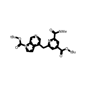 CNC(=O)c1cc(C(=O)OC(C)(C)C)cc(Cc2cncc3c2ccn3C(=O)OC(C)(C)C)n1